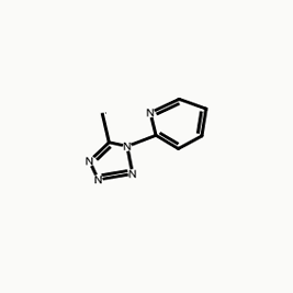 [CH2]c1nnnn1-c1ccccn1